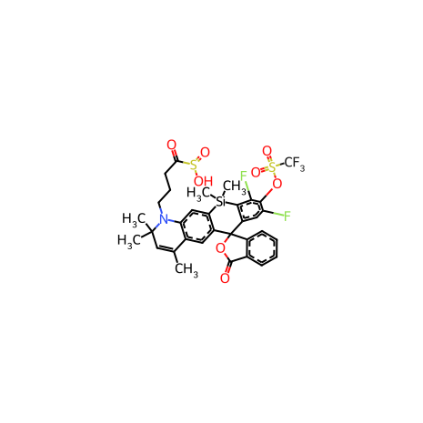 CC1=CC(C)(C)N(CCCC(=O)S(=O)O)c2cc3c(cc21)C1(OC(=O)c2ccccc21)c1cc(F)c(OS(=O)(=O)C(F)(F)F)c(F)c1[Si]3(C)C